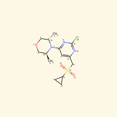 C[C@H]1COC[C@H](C)N1c1cc(CS(=O)(=O)C2CC2)nc(Cl)n1